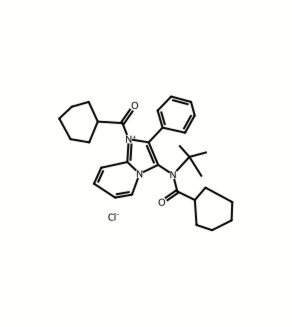 CC(C)(C)N(C(=O)C1CCCCC1)c1c(-c2ccccc2)[n+](C(=O)C2CCCCC2)c2ccccn12.[Cl-]